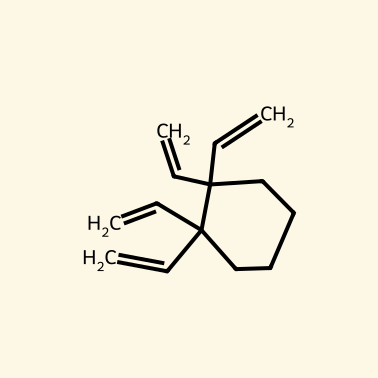 C=CC1(C=C)CCCCC1(C=C)C=C